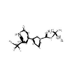 CC(C)(C)OC(=O)N1CCC=C(c2cc(Cl)nc(C(F)(F)F)c2)C1